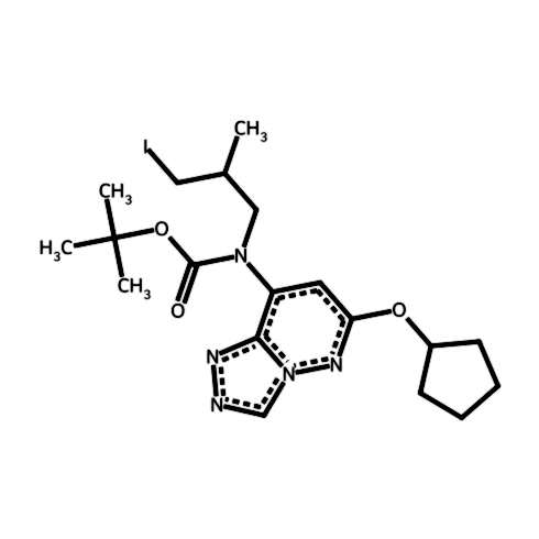 CC(CI)CN(C(=O)OC(C)(C)C)c1cc(OC2CCCC2)nn2cnnc12